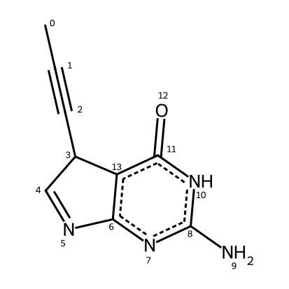 CC#CC1C=Nc2nc(N)[nH]c(=O)c21